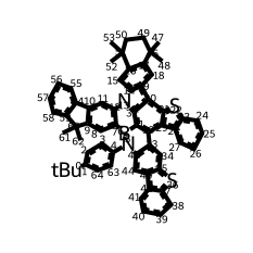 CC(C)(C)c1ccc(N2B3c4cc5c(cc4-n4c6cc7c(cc6c6c8sc9ccccc9c8c(c3c64)-c3cc4sc6ccccc6c4cc32)C(C)(C)CCC7(C)C)-c2ccccc2C5(C)C)cc1